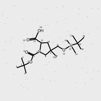 CC(C)(C)OC(=O)N1CC(F)(CO[Si](C)(C)C(C)(C)C)CC1C(=O)O